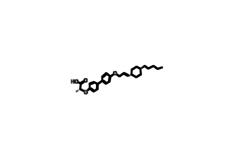 CCCCC[C@H]1CC[C@H](/C=C/COc2ccc(-c3ccc(O[C@H](C)C(=O)O)cc3)cc2)CC1